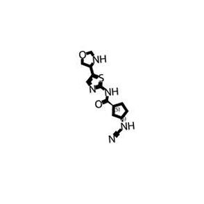 N#CN[C@H]1CC[C@H](C(=O)Nc2ncc(C3COCN3)s2)C1